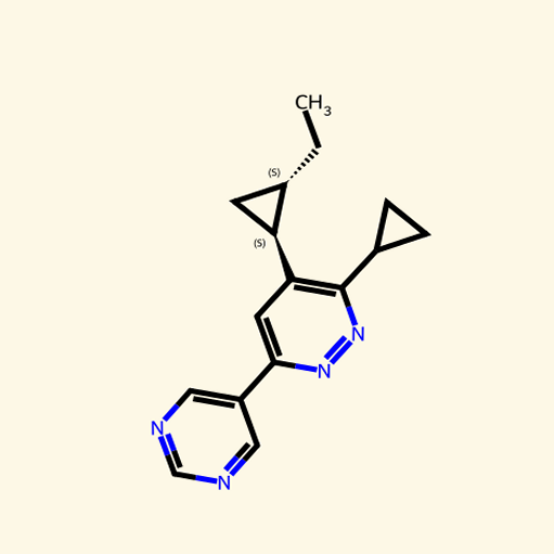 CC[C@H]1C[C@@H]1c1cc(-c2cncnc2)nnc1C1CC1